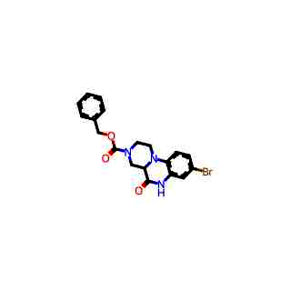 O=C1Nc2cc(Br)ccc2N2CCN(C(=O)OCc3ccccc3)CC12